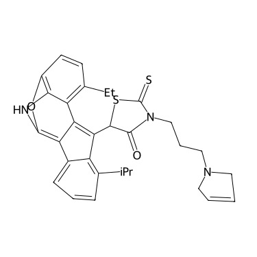 CCc1ccc2c3[nH]c(c4c5cccc(C(C)C)c5c(C5SC(=S)N(CCCN6CC=CC6)C5=O)c-4c13)O2